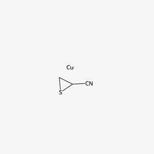 N#CC1CS1.[Cu]